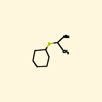 [CH2]CCCC(C)SC1CCCCC1